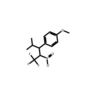 COc1ccc(C(C(C)C)C([N+](=O)[O-])C(F)(F)F)cc1